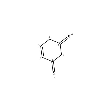 S=C1[C]=CCC(=S)C1